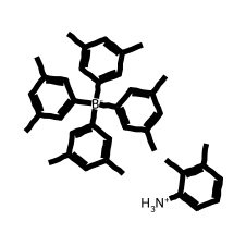 Cc1cc(C)cc([B-](c2cc(C)cc(C)c2)(c2cc(C)cc(C)c2)c2cc(C)cc(C)c2)c1.Cc1cccc([NH3+])c1C